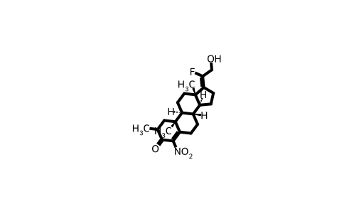 CC1C[C@@]2(C)C(=C([N+](=O)[O-])C1=O)CC[C@@H]1[C@@H]2CC[C@]2(C)C(=C(F)CO)CC[C@@H]12